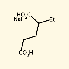 CCC(CCC(=O)O)C(=O)O.[NaH]